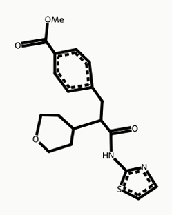 COC(=O)c1ccc(CC(C(=O)Nc2nccs2)C2CCOCC2)cc1